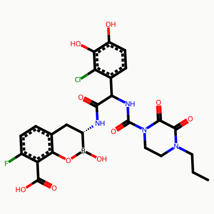 CCCN1CCN(C(=O)NC(C(=O)N[C@H]2Cc3ccc(F)c(C(=O)O)c3OB2O)c2ccc(O)c(O)c2Cl)C(=O)C1=O